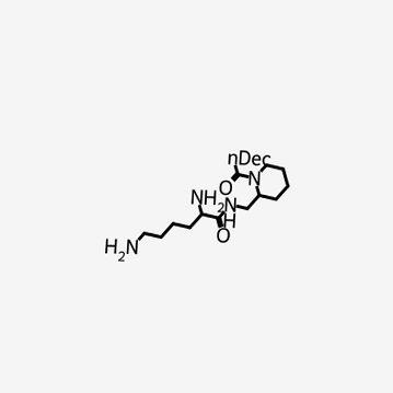 CCCCCCCCCCC(=O)N1CCCCC1CNC(=O)C(N)CCCCN